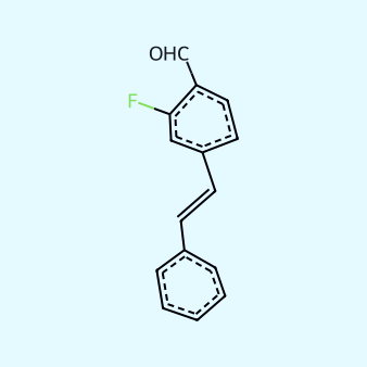 O=Cc1ccc(C=Cc2ccccc2)cc1F